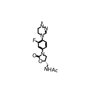 CC(=O)NC[C@H]1CN(c2ccc(N3C=NN(C)CC3)c(F)c2)C(=O)O1